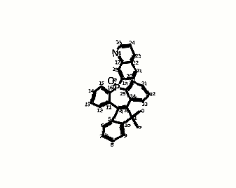 CC1(C)C2=C(c3ccccc31)c1ccccc1P(=O)(c1ccc3cccnc3c1)c1ccccc12